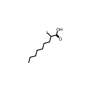 CCCCCCCC(I)C(=O)O